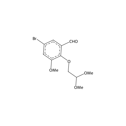 COc1cc(Br)cc(C=O)c1OCC(OC)OC